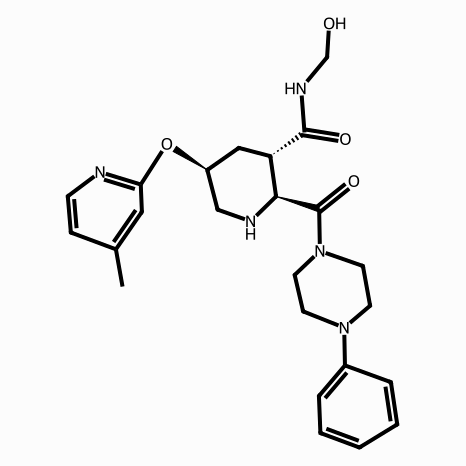 Cc1ccnc(O[C@@H]2CN[C@H](C(=O)N3CCN(c4ccccc4)CC3)[C@@H](C(=O)NCO)C2)c1